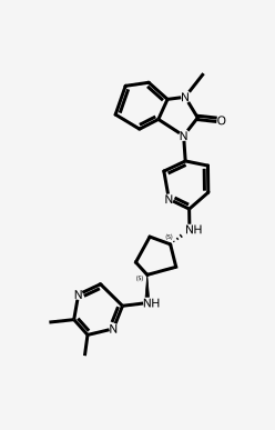 Cc1ncc(N[C@H]2CC[C@H](Nc3ccc(-n4c(=O)n(C)c5ccccc54)cn3)C2)nc1C